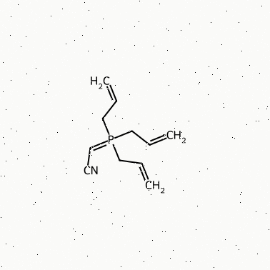 C=CCP(=CC#N)(CC=C)CC=C